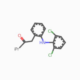 CC(C)C(=O)Cc1ccccc1Nc1c(Cl)cccc1Cl